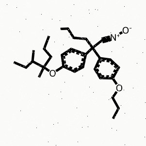 CCCCC(C#[N+][O-])(c1ccc(OCCC)cc1)c1ccc(OC(C)(CCC)C(C)CC)cc1